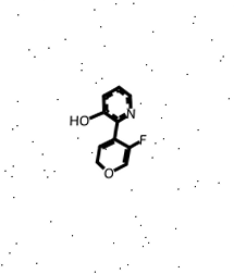 Oc1cccnc1C1=CCOC=C1F